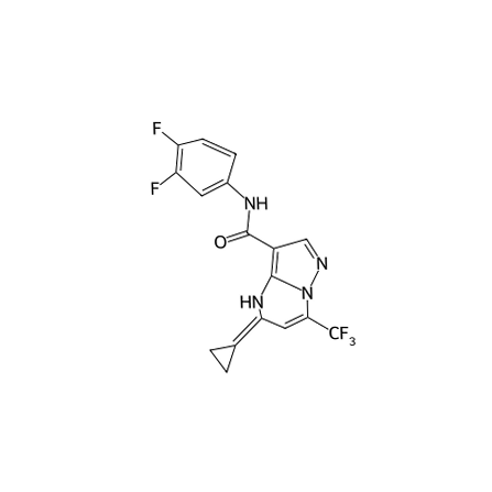 O=C(Nc1ccc(F)c(F)c1)c1cnn2c1NC(=C1CC1)C=C2C(F)(F)F